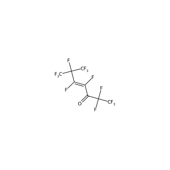 O=C(C(F)=C(F)C(F)(C(F)(F)F)C(F)(F)F)C(F)(F)C(F)(F)F